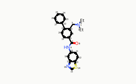 CCN(CC)Cc1cc(C(=O)Nc2ccc3scnc3c2)ccc1-c1ccccc1